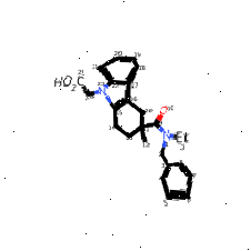 CCN(Cc1ccccc1)C(=O)C1(C)CCc2c(c3ccccc3n2CC(=O)O)C1